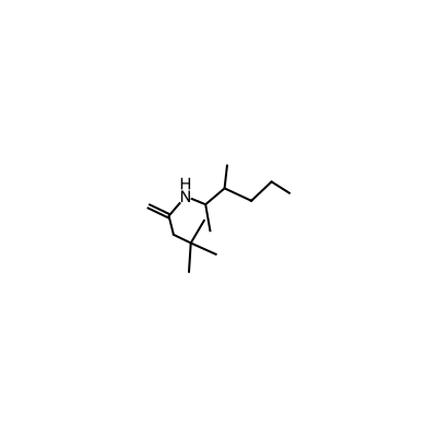 C=C(CC(C)(C)C)NC(C)C(C)CCC